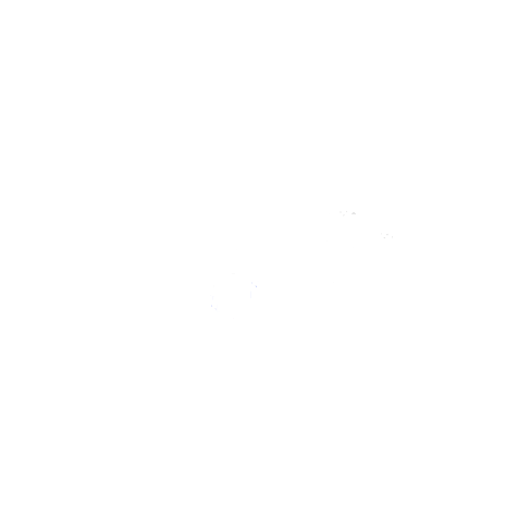 COc1ccc(CCNC(=O)/C(=N\I)c2ccc3c(c2)CCCC3)cc1OC